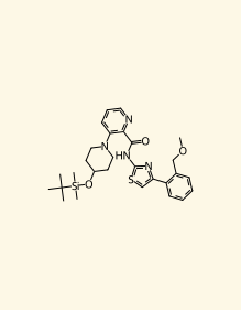 COCc1ccccc1-c1csc(NC(=O)c2ncccc2N2CCC(O[Si](C)(C)C(C)(C)C)CC2)n1